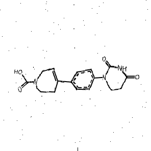 O=C1CCN(c2ccc(C3=CCN(C(=O)O)CC3)cc2)C(=O)N1